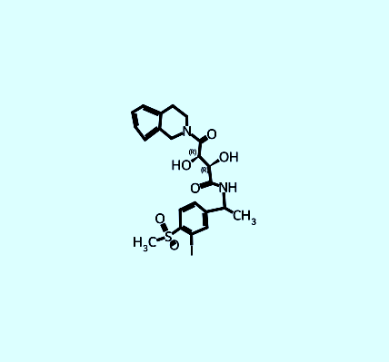 CC(NC(=O)[C@H](O)[C@@H](O)C(=O)N1CCc2ccccc2C1)c1ccc(S(C)(=O)=O)c(I)c1